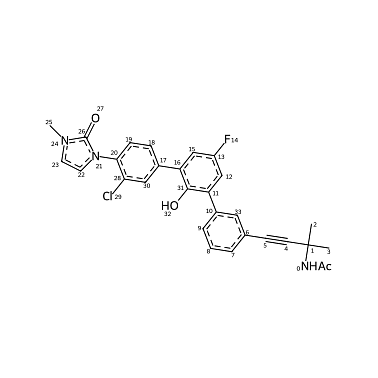 CC(=O)NC(C)(C)C#Cc1cccc(-c2cc(F)cc(-c3ccc(-n4ccn(C)c4=O)c(Cl)c3)c2O)c1